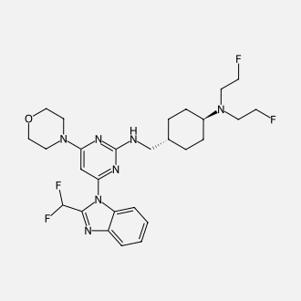 FCCN(CCF)[C@H]1CC[C@H](CNc2nc(N3CCOCC3)cc(-n3c(C(F)F)nc4ccccc43)n2)CC1